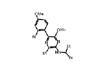 CCc1cc(OC)ccc1-c1nc(CC)c(NC(CC)CC)nc1OC